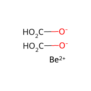 O=C([O-])O.O=C([O-])O.[Be+2]